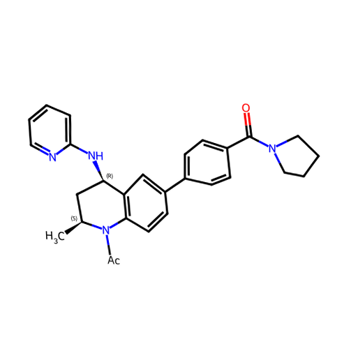 CC(=O)N1c2ccc(-c3ccc(C(=O)N4CCCC4)cc3)cc2[C@H](Nc2ccccn2)C[C@@H]1C